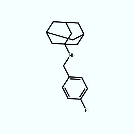 Fc1ccc(CNC23CC4CC(CC(C4)C2)C3)cc1